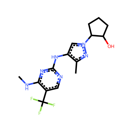 CNc1nc(Nc2cn(C3CCCC3O)nc2C)ncc1C(F)(F)F